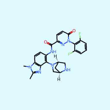 Cc1nc2c(N3C[C@H]4C[C@@H]3CN4)c(NC(=O)c3ccc(=O)n(-c4c(F)cccc4F)n3)ccc2n1C